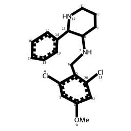 COc1cc(Cl)c(CNC2CCCNC2c2ccccc2)c(Cl)c1